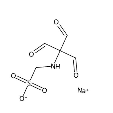 O=CC(C=O)(C=O)NCS(=O)(=O)[O-].[Na+]